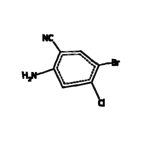 N#Cc1cc(Br)c(Cl)cc1N